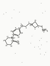 NCC1CN(CCOc2ccc(N3CCCCC3=O)cc2)C1